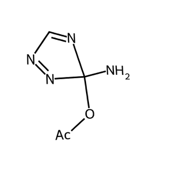 CC(=O)OC1(N)N=CN=N1